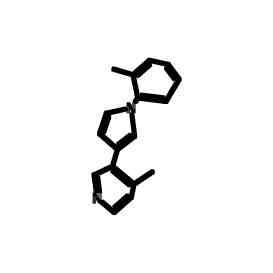 Cc1ccncc1-c1ccn(-c2ccccc2C)c1